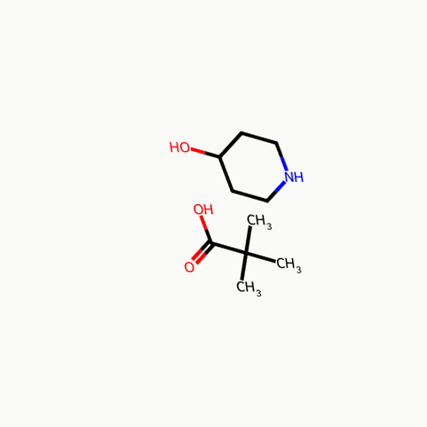 CC(C)(C)C(=O)O.OC1CCNCC1